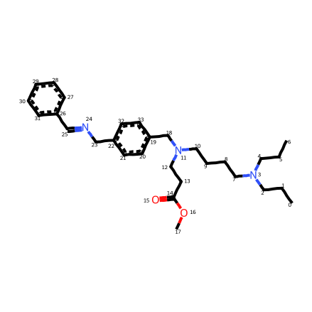 CCCN(CCC)CCCCN(CCC(=O)OC)Cc1ccc(CN=Cc2ccccc2)cc1